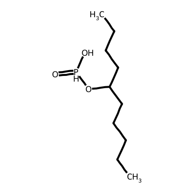 CCCCCC(CCCC)O[PH](=O)O